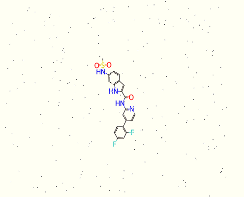 CS(=O)(=O)Nc1ccc2cc(C(=O)Nc3cc(-c4ccc(F)cc4F)ccn3)[nH]c2c1